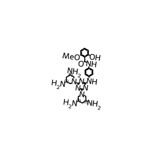 COc1cccc(O)c1C(=O)Nc1ccc(Nc2nc(N3C[C@H](N)C[C@H](N)C3)nc(N3C[C@H](N)C[C@H](N)C3)n2)cc1